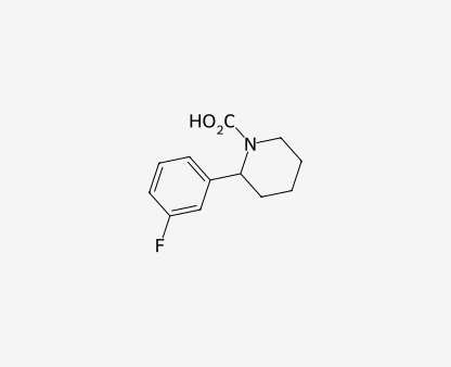 O=C(O)N1CCCCC1c1cccc(F)c1